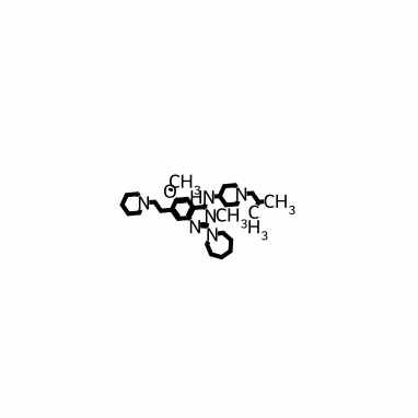 COc1cc2c(cc1CCN1CCCCC1)N=C(N1CCCCCC1)N(C)C2NC1CCN(CC(C)C)CC1